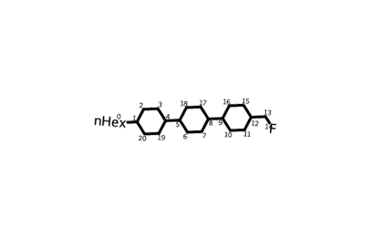 CCCCCCC1CCC(C2CCC(C3CCC(CF)CC3)CC2)CC1